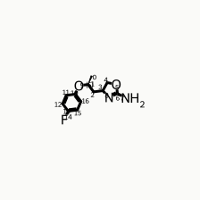 C[C@@H](CC1COC(N)=N1)Oc1ccc(F)cc1